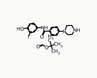 CC(C)(C)OC=O.O=C(Nc1ccc(O)c(I)c1)c1ccc(N2CCNCC2)cc1